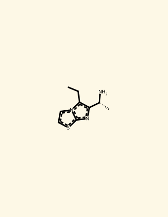 CCc1c([C@@H](C)N)nc2sccn12